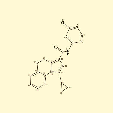 O=C(Nc1ccnc(Cl)c1)c1nc(C2CC2)n2c1CSc1ccccc1-2